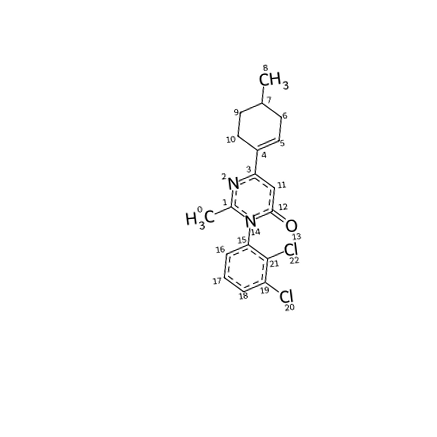 Cc1nc(C2=CCC(C)CC2)cc(=O)n1-c1cccc(Cl)c1Cl